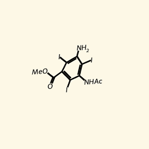 COC(=O)c1c(I)c(N)c(I)c(NC(C)=O)c1I